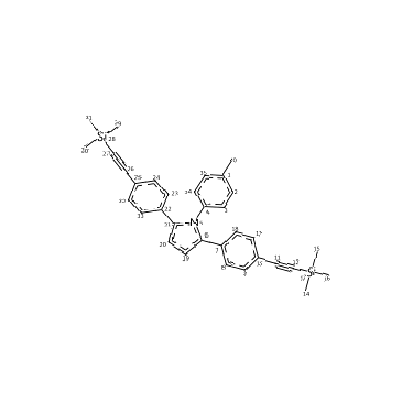 Cc1ccc(-n2c(-c3ccc(C#C[Si](C)(C)C)cc3)ccc2-c2ccc(C#C[Si](C)(C)C)cc2)cc1